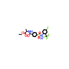 CCOC(=O)C(C)NC(=O)c1ccc(S(=O)(=O)Nc2ccc(F)cc2C(F)(F)F)cc1